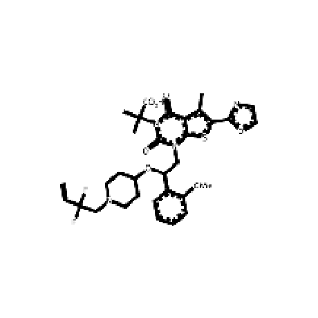 C=CC(F)(F)CN1CCC(OC(Cn2c(=O)n(C(C)(C)C(=O)O)c(=O)c3c(C)c(-c4ncco4)sc32)c2ccccc2OC)CC1